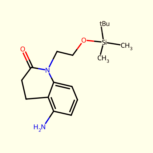 CC(C)(C)[Si](C)(C)OCCN1C(=O)CCc2c(N)cccc21